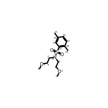 COCCN(CCOC)S(=O)(=O)c1cc(C)ccc1C